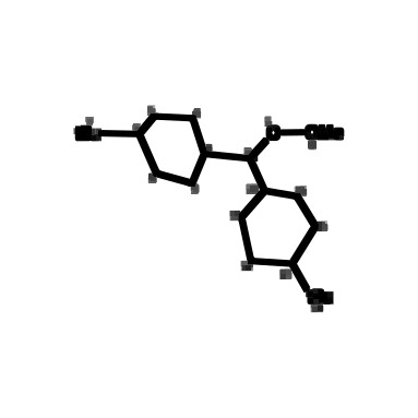 COO[C](C1CCC(C(C)(C)C)CC1)C1CCC(C(C)(C)C)CC1